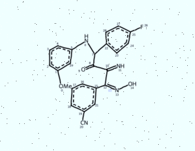 COc1cccc(NC(C(=O)C(=N)/C(=N\O)c2cccc(C#N)c2)c2ccc(F)cc2)c1